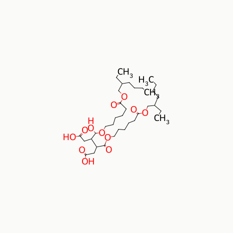 CCCCC(CC)COC(=O)CCCCCOC(=O)C(CC(=O)O)C(CC(=O)O)C(O)OCCCCCC(=O)OCC(CC)CCCC